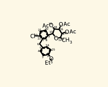 CCOc1ccc(Cc2cc(C3OC(C)C(OC(C)=O)C(OC(C)=O)C3OC(C)=O)ccc2Cl)cc1